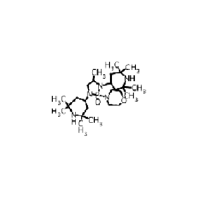 CC1CN(C2CC(C)(C)NC(C)(C)C2)P(=O)(N2CCOCC2)N1C1CC(C)(C)NC(C)(C)C1